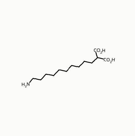 NCCCCCCCCCCC(C(=O)O)C(=O)O